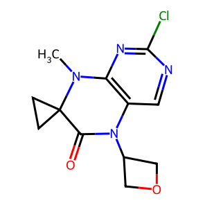 CN1c2nc(Cl)ncc2N(C2COC2)C(=O)C12CC2